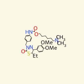 CCC1SC(=O)N(Cc2ccc(NC(=O)OCCCCCCN(C)C)cc2)N=C1c1ccc(OC)c(OC)c1